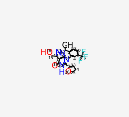 CC(c1ccc(C(F)(F)F)cc1)n1nc(CO)c2c(=O)[nH]c([C@H]3CCCO3)nc21